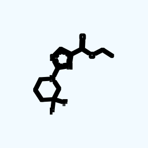 CCOC(=O)c1csc(N2CCCC(F)(F)C2)n1